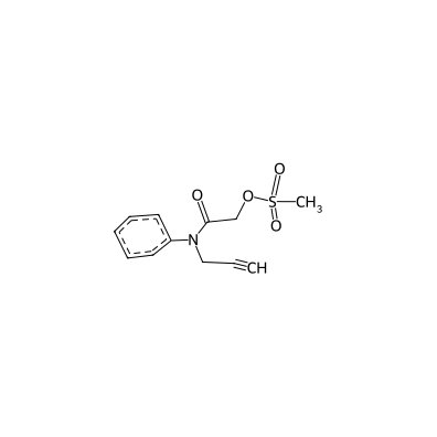 C#CCN(C(=O)COS(C)(=O)=O)c1ccccc1